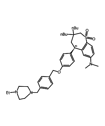 CCCCC1(CCCC)C[C@H](c2ccc(OCc3ccc(CN4CCN(CC)CC4)cc3)cc2)c2cc(N(C)C)ccc2S(=O)(=O)C1